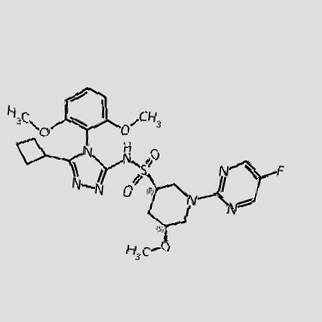 COc1cccc(OC)c1-n1c(NS(=O)(=O)[C@@H]2C[C@H](OC)CN(c3ncc(F)cn3)C2)nnc1C1CCC1